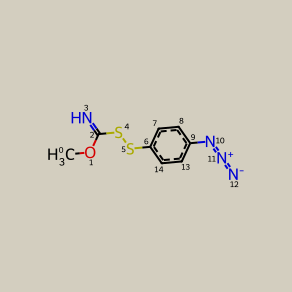 COC(=N)SSc1ccc(N=[N+]=[N-])cc1